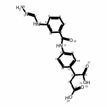 NN=CNc1cccc(C(=O)Nc2ccc(C(CC(=O)O)C(=O)O)cc2)c1